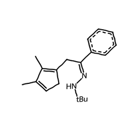 CC1=CCC(CC(=NNC(C)(C)C)c2ccccc2)=C1C